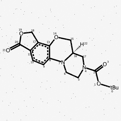 CC(C)(C)OC(=O)N1CCN2c3ccc4c(c3OC[C@H]2C1)COC4=O